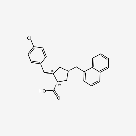 O=C(O)[C@H]1CN(Cc2cccc3ccccc23)C[C@@H]1Cc1ccc(Cl)cc1